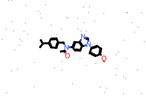 COc1ccc(-n2cnc3cc(N(Cc4ccc(C(C)C)cc4)C(C)=O)ccc32)cc1